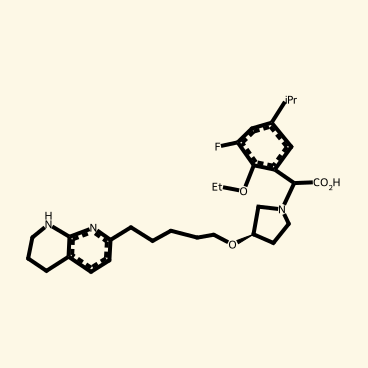 CCOc1c(F)cc(C(C)C)cc1C(C(=O)O)N1CC[C@@H](OCCCCCc2ccc3c(n2)NCCC3)C1